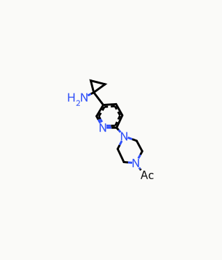 CC(=O)N1CCN(c2ccc(C3(N)CC3)cn2)CC1